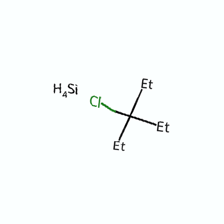 CCC(Cl)(CC)CC.[SiH4]